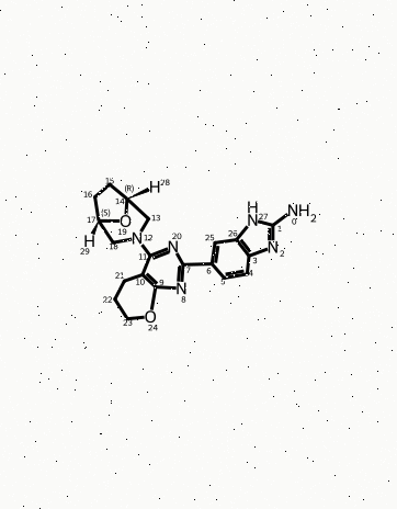 Nc1nc2ccc(-c3nc4c(c(N5C[C@H]6CC[C@@H](C5)O6)n3)CCCO4)cc2[nH]1